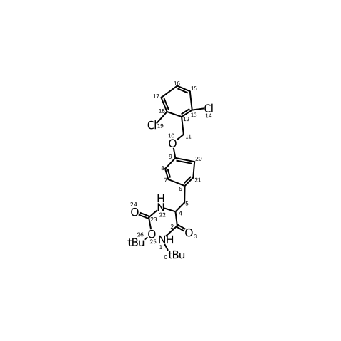 CC(C)(C)NC(=O)C(Cc1ccc(OCc2c(Cl)cccc2Cl)cc1)NC(=O)OC(C)(C)C